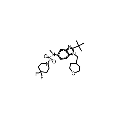 CN(c1ccc2c(c1)nc(C(C)(C)C)n2CC1CCOCC1)S(=O)(=O)N1CCC(F)(F)CC1